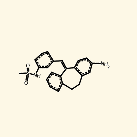 CS(=O)(=O)Nc1cccc(/C=C2\c3ccccc3CCc3cc(N)ccc32)c1